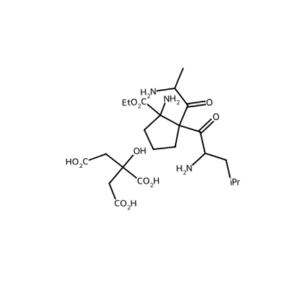 CCOC(=O)C1(N)CCCC1(C(=O)C(C)N)C(=O)C(N)CC(C)C.O=C(O)CC(O)(CC(=O)O)C(=O)O